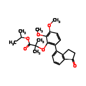 COc1ccc(-c2cccc3c2CCC3=O)c(OC(C)(C)C(=O)OC(C)C)c1OC